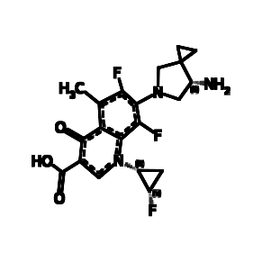 Cc1c(F)c(N2C[C@@H](N)C3(CC3)C2)c(F)c2c1c(=O)c(C(=O)O)cn2[C@@H]1C[C@@H]1F